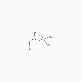 CCSC(CC(C)(C)C(C)C)C(C)C